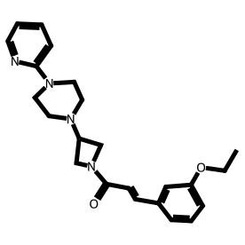 CCOc1cccc(/C=C/C(=O)N2CC(N3CCN(c4ccccn4)CC3)C2)c1